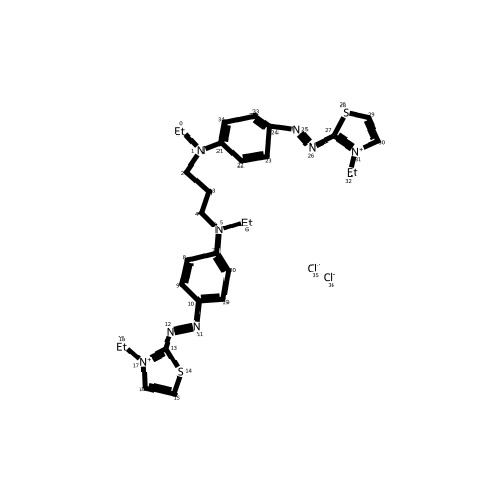 CCN(CCCN(CC)c1ccc(N=Nc2scc[n+]2CC)cc1)c1ccc(N=Nc2scc[n+]2CC)cc1.[Cl-].[Cl-]